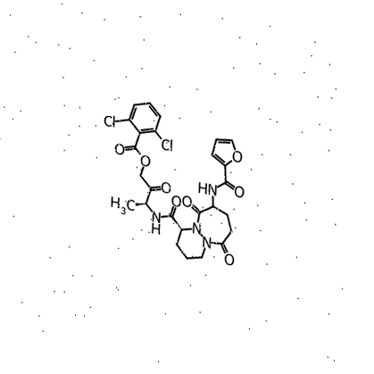 C[C@H](NC(=O)[C@@H]1CCCN2C(=O)CCC(NC(=O)c3ccco3)C(=O)N12)C(=O)COC(=O)c1c(Cl)cccc1Cl